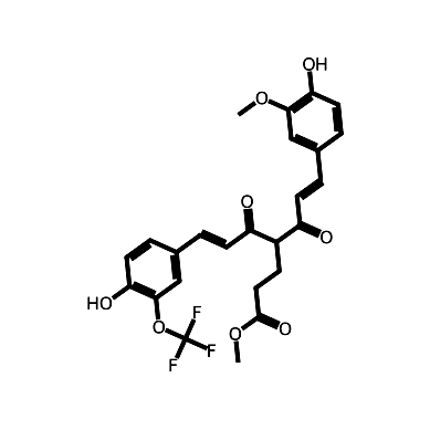 COC(=O)CCC(C(=O)/C=C/c1ccc(O)c(OC)c1)C(=O)/C=C/c1ccc(O)c(OC(F)(F)F)c1